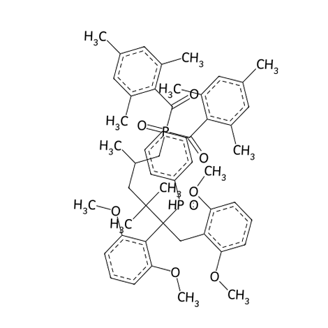 COc1cccc(OC)c1CC(c1c(OC)cccc1OC)([PH](=O)c1ccccc1)C(C)(C)CC(C)CP(=O)(C(=O)c1c(C)cc(C)cc1C)C(=O)c1c(C)cc(C)cc1C